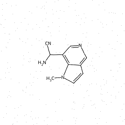 Cn1ccc2cncc(C(N)C#N)c21